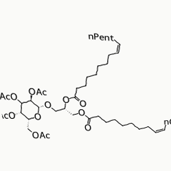 CCCCC/C=C\CCCCCCCC(=O)O[C@H](COC(=O)CCCCCCC/C=C\CCCCCCCC)CO[C@@H]1O[C@H](COC(C)=O)[C@H](OC(C)=O)C(OC(C)=O)[C@H]1OC(C)=O